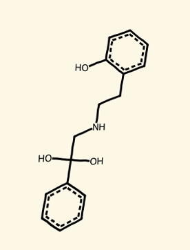 Oc1ccccc1CCNCC(O)(O)c1ccccc1